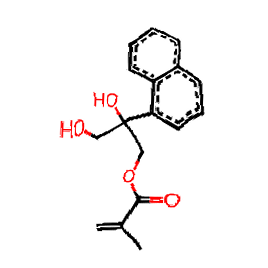 C=C(C)C(=O)OCC(O)(CO)c1cccc2ccccc12